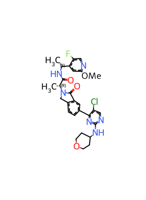 COc1cc([C@@H](C)NC(=O)[C@@H](C)N2Cc3ccc(-c4nc(NC5CCOCC5)ncc4Cl)cc3C2=O)c(F)cn1